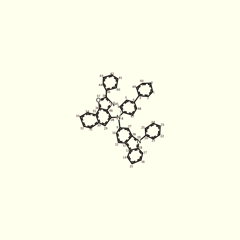 c1ccc(-c2ccc(N(c3ccc4c5ccccc5n(-c5ccccc5)c4c3)c3cc4ccccc4c4oc(-c5ccccc5)nc34)cc2)cc1